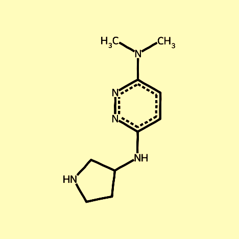 CN(C)c1ccc(NC2CCNC2)nn1